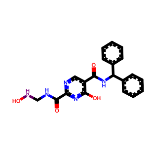 O=C(NCPO)c1ncc(C(=O)NC(c2ccccc2)c2ccccc2)c(O)n1